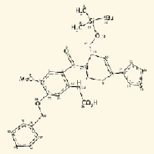 COc1cc(C(=O)N2CCC(c3ccsc3)=C[C@H]2CO[Si](C)(C)C(C)(C)C)c(NC(=O)O)cc1OCc1ccccc1